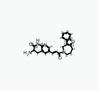 NC1Cc2cc(/C=C/C(=O)N3CCCc4oc5ccccc5c4C3)cnc2NC1=O